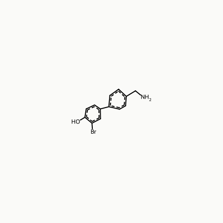 NCc1ccc(-c2ccc(O)c(Br)c2)cc1